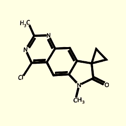 Cc1nc(Cl)c2cc3c(cc2n1)C1(CC1)C(=O)N3C